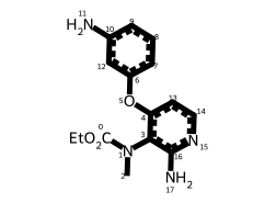 CCOC(=O)N(C)c1c(Oc2cccc(N)c2)ccnc1N